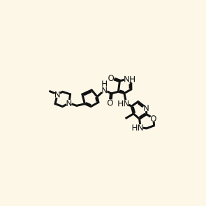 Cc1c(Nc2cc[nH]c(=O)c2C(=O)Nc2ccc(CN3CCN(C)CC3)cc2)cnc2c1NCCO2